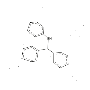 B(c1ccccc1)C(c1ccccc1)c1ccccc1